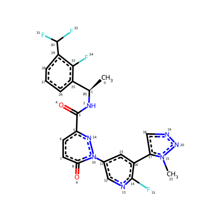 C[C@@H](NC(=O)c1ccc(=O)n(-c2cnc(F)c(-c3cnnn3C)c2)n1)c1cccc(C(F)F)c1F